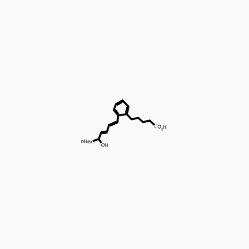 CCCCCCC(O)C=CC=Cc1ccccc1CCCCC(=O)O